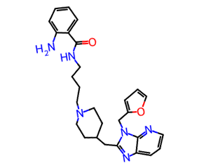 Nc1ccccc1C(=O)NCCCCN1CCC(Cc2nc3cccnc3n2Cc2ccco2)CC1